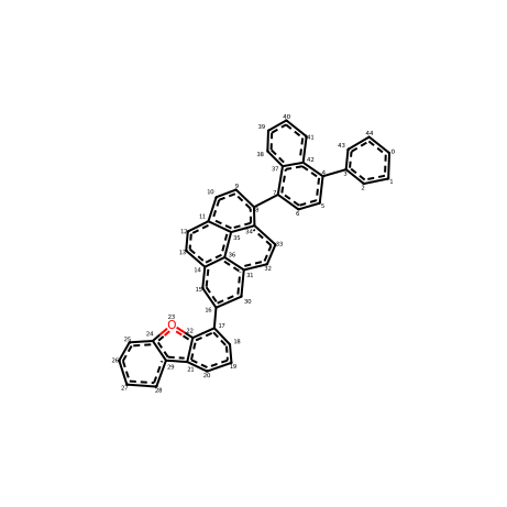 c1ccc(-c2ccc(-c3ccc4ccc5cc(-c6cccc7c6oc6ccccc67)cc6ccc3c4c56)c3ccccc23)cc1